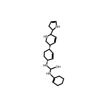 OC(NC1=CCCCC1)N[C@@H]1C=C[C@H](C2C=CC(C3CC=CN3)NC2)CC1